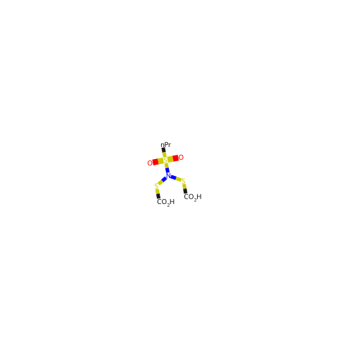 CCCS(=O)(=O)N(SC(=O)O)SC(=O)O